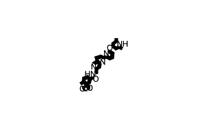 Cc1ccc(C(=O)NCc2cc3nc(-c4cccc(OC5CC(C)NC(C)C5)n4)ccc3cn2)cc1S(C)(=O)=O